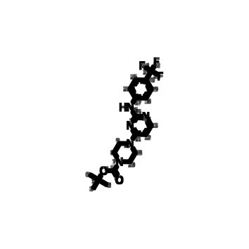 CC(C)(C)OC(=O)N1CCN(c2ccnc(Nc3ccc(C(F)(F)F)cc3)n2)CC1